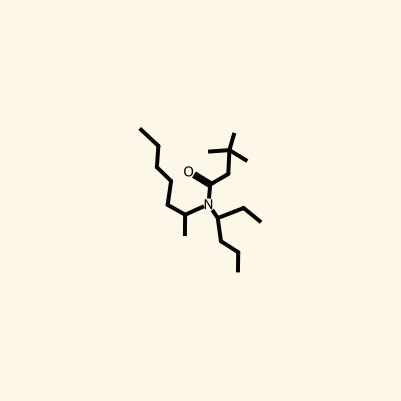 CCCCCC(C)N(C(=O)CC(C)(C)C)C(CC)CCC